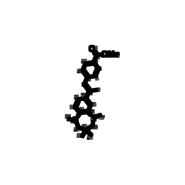 COC(=O)c1ccc(/C=C(\C)c2ccc3c(c2)N(C)CC(C)(C)CN3C)cc1